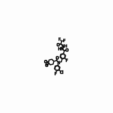 O=C(NNC(=O)C(F)F)c1ccc(CN(C(=O)C2CCS(=O)(=O)CC2)c2ccc(F)c(Cl)c2)c(F)c1